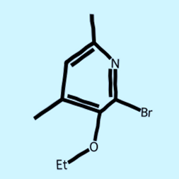 CCOc1c(C)cc(C)nc1Br